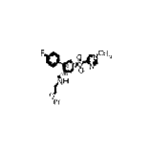 CC(C)OCCNC[C@H]1CN(S(=O)(=O)c2cn(C)cn2)C[C@@H]1c1ccc(F)cc1